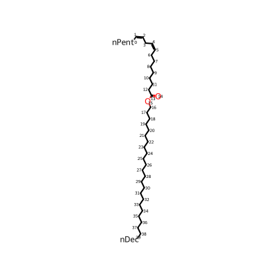 CCCCC/C=C\C/C=C\CCCCCCCC(=O)OCCCCCCCCCCCCCCCCCCCCCCCCCCCCCCCCC